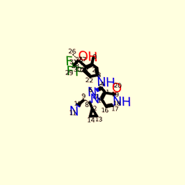 Cc1cc(Nc2nn([C@@H](CC#N)C3CC3)c3cc[nH]c(=O)c23)ccc1[C@](C)(O)C(F)(F)F